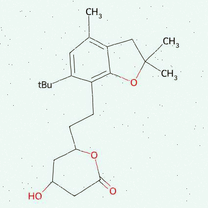 Cc1cc(C(C)(C)C)c(CCC2CC(O)CC(=O)O2)c2c1CC(C)(C)O2